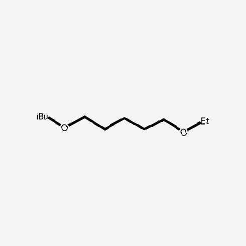 CCOCCCCCOC(C)CC